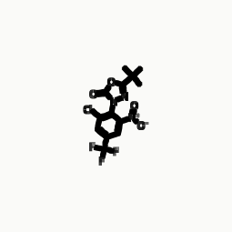 CC(C)(C)c1nn(-c2c(Cl)cc(C(F)(F)F)cc2[N+](=O)[O-])c(=O)o1